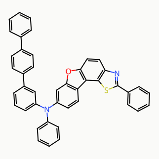 c1ccc(-c2ccc(-c3cccc(N(c4ccccc4)c4ccc5c(c4)oc4ccc6nc(-c7ccccc7)sc6c45)c3)cc2)cc1